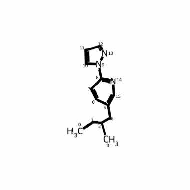 CCC(C)Cc1ccc(-n2cccn2)nc1